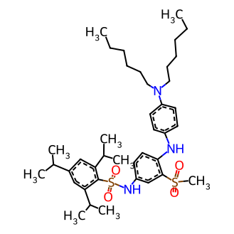 CCCCCCN(CCCCCC)c1ccc(Nc2ccc(NS(=O)(=O)c3c(C(C)C)cc(C(C)C)cc3C(C)C)cc2S(C)(=O)=O)cc1